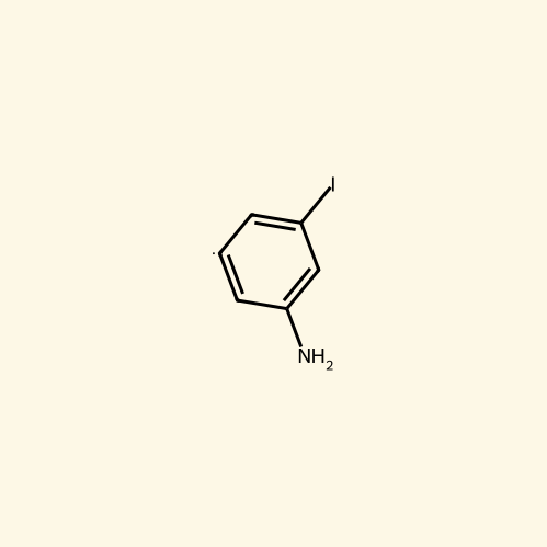 Nc1c[c]cc(I)c1